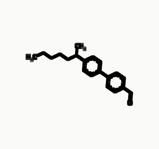 CCCCCC(C)c1ccc(-c2ccc(C=O)cc2)cc1